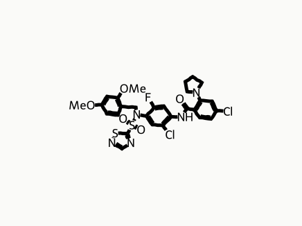 COc1ccc(CN(c2cc(Cl)c(NC(=O)c3ccc(Cl)cc3N3CCCC3)cc2F)S(=O)(=O)c2ncns2)c(OC)c1